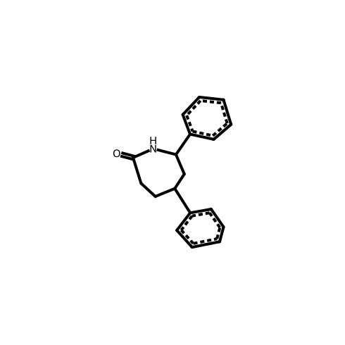 O=C1CCC(c2ccccc2)CC(c2ccccc2)N1